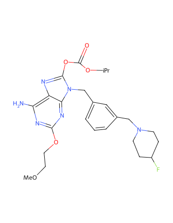 COCCOc1nc(N)c2nc(OC(=O)OC(C)C)n(Cc3cccc(CN4CCC(F)CC4)c3)c2n1